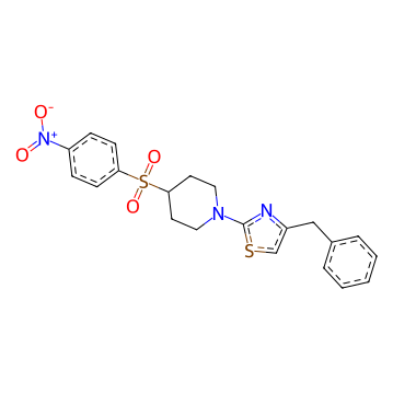 O=[N+]([O-])c1ccc(S(=O)(=O)C2CCN(c3nc(Cc4ccccc4)cs3)CC2)cc1